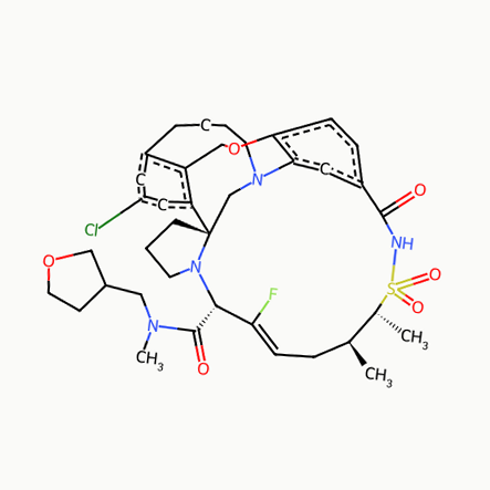 C[C@@H]1[C@@H](C)C/C=C(\F)[C@H](C(=O)N(C)CC2CCOC2)N2CCC[C@@]23CN2CCCCc4cc(Cl)cc3c4COc3ccc(cc32)C(=O)NS1(=O)=O